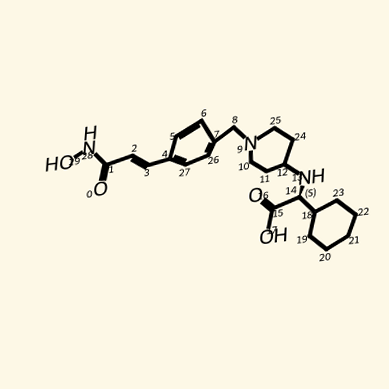 O=C(C=Cc1ccc(CN2CCC(N[C@H](C(=O)O)C3CCCCC3)CC2)cc1)NO